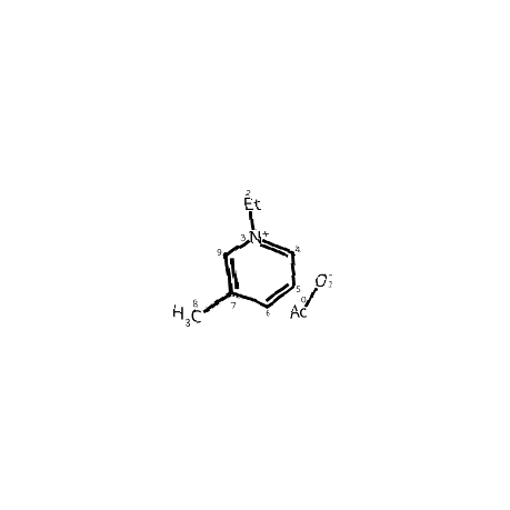 CC(=O)[O-].CC[n+]1cccc(C)c1